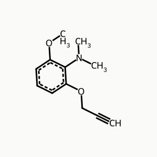 C#CCOc1cccc(OC)c1N(C)C